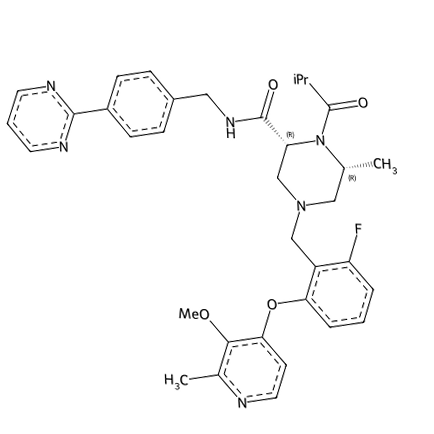 COc1c(Oc2cccc(F)c2CN2C[C@@H](C)N(C(=O)C(C)C)[C@@H](C(=O)NCc3ccc(-c4ncccn4)cc3)C2)ccnc1C